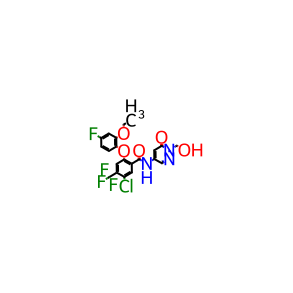 CCOc1cc(F)ccc1Oc1cc(C(F)(F)F)c(Cl)cc1C(=O)Nc1cnn(CO)c(=O)c1